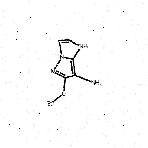 CCOc1nn2cc[nH]c2c1N